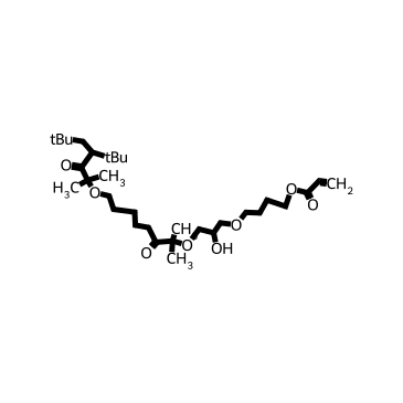 C=CC(=O)OCCCCOCC(O)COC(C)(C)C(=O)CCCCCOC(C)(C)C(=O)C(CC(C)(C)C)C(C)(C)C